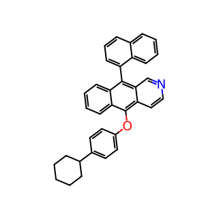 c1ccc2c(-c3c4ccccc4c(Oc4ccc(C5CCCCC5)cc4)c4ccncc34)cccc2c1